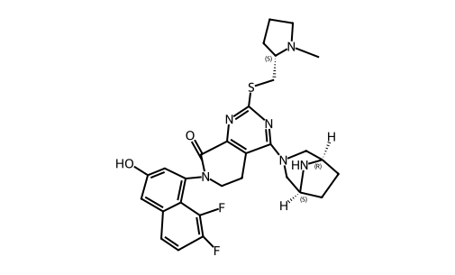 CN1CCC[C@H]1CSc1nc2c(c(N3C[C@H]4CC[C@@H](C3)N4)n1)CCN(c1cc(O)cc3ccc(F)c(F)c13)C2=O